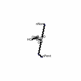 CCCCC/C=C\C/C=C\CCCCCCCC(=O)O[C@H](COC(=O)CCCCCCC/C=C\CCCCCCCCC)COP(=O)(O)OC[C@@H](O)CO